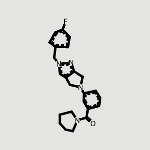 O=C(c1cccc(N2Cc3cn(Cc4ccc(F)cc4)nc3C2)c1)N1CCCCC1